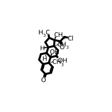 CC1C[C@H]2[C@@H]3CCC4=CC(=O)C=C[C@]4(C)[C@@]3(O)C(O)C[C@]2(C)[C@@]1(C)C(=O)CCl